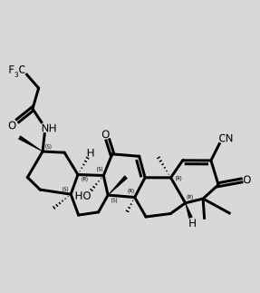 CC1(C)C(=O)C(C#N)=C[C@]2(C)C3=CC(=O)[C@]4(O)[C@@H]5C[C@@](C)(NC(=O)CC(F)(F)F)CC[C@]5(C)CC[C@@]4(C)[C@]3(C)CC[C@@H]12